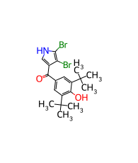 CC(C)(C)c1cc(C(=O)c2c[nH]c(Br)c2Br)cc(C(C)(C)C)c1O